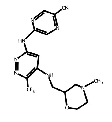 CN1CCOC(CNc2cc(Nc3cnc(C#N)cn3)nnc2C(F)(F)F)C1